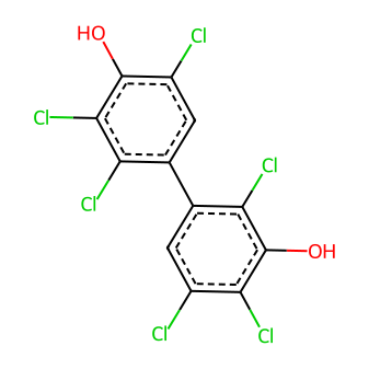 Oc1c(Cl)c(Cl)cc(-c2cc(Cl)c(O)c(Cl)c2Cl)c1Cl